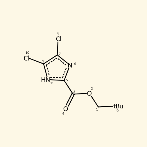 CC(C)(C)COC(=O)c1nc(Cl)c(Cl)[nH]1